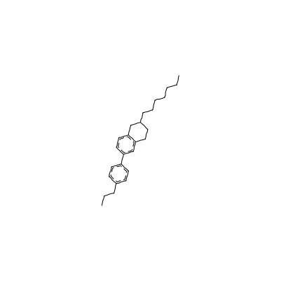 CCCCCCCC1CCc2cc(-c3ccc(CCC)cc3)ccc2C1